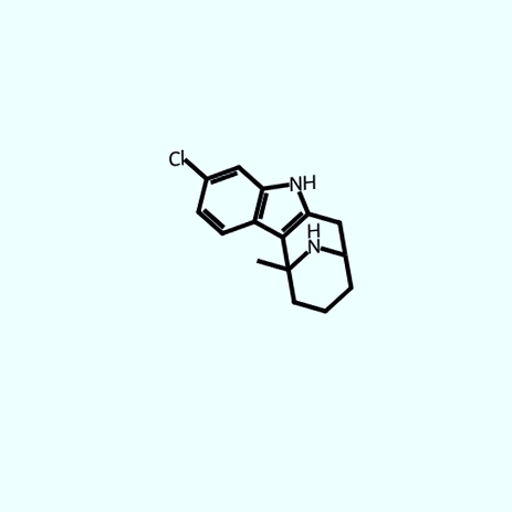 CC12CCCC(Cc3[nH]c4cc(Cl)ccc4c31)N2